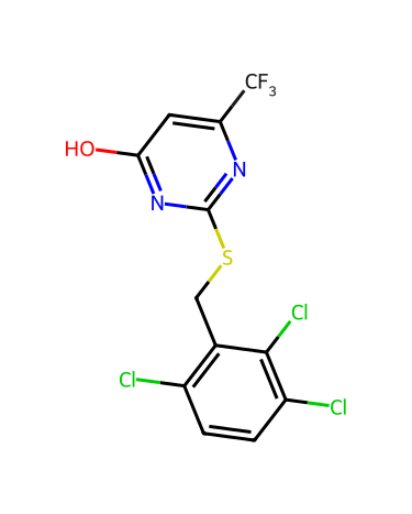 Oc1cc(C(F)(F)F)nc(SCc2c(Cl)ccc(Cl)c2Cl)n1